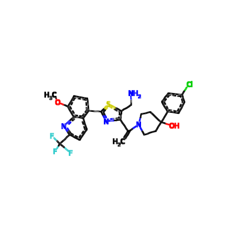 C=C(c1nc(-c2ccc(OC)c3nc(C(F)(F)F)ccc23)sc1CN)N1CCC(O)(c2ccc(Cl)cc2)CC1